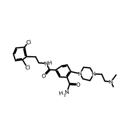 CN(C)CCN1CCN(c2ccc(C(=O)NCCc3c(Cl)cccc3Cl)cc2C(N)=O)CC1